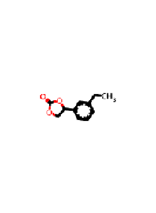 CCc1cccc(C2COC(=O)O2)c1